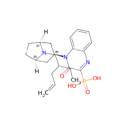 C=CCC(CC)CN1[C@@H]2CC[C@H]1C[C@@H](n1c(=O)c(P(=O)(O)O)nc3ccccc31)C2